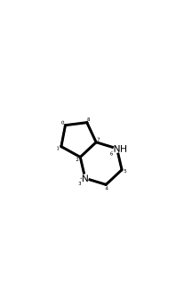 C1CC2[N]CCNC2C1